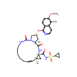 COc1ccc2c(O[C@@H]3C[C@H]4C(=O)N[C@]5(C(=O)NS(=O)(=O)C6CC6)C[C@H]5/C=C\CCCCCNC(=O)N4C3)nccc2c1Br